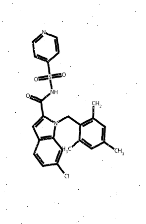 Cc1cc(C)c(Cn2c(C(=O)NS(=O)(=O)c3ccncc3)cc3ccc(Cl)cc32)c(C)c1